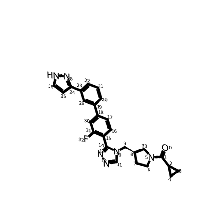 O=C(C1CC1)N1CC[C@@H](Cn2cnnc2-c2ccc(-c3cccc(-c4cc[nH]n4)c3)cc2F)C1